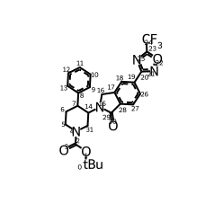 CC(C)(C)OC(=O)N1CCC(c2ccccc2)C(N2Cc3cc(-c4noc(C(F)(F)F)n4)ccc3C2=O)C1